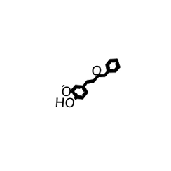 COc1cc(C=CC(=O)Cc2ccccc2)ccc1O